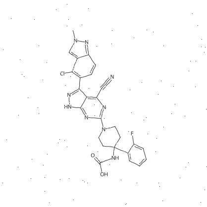 Cn1cc2c(Cl)c(-c3n[nH]c4nc(N5CCC(NC(=O)O)(c6ccccc6F)CC5)nc(C#N)c34)ccc2n1